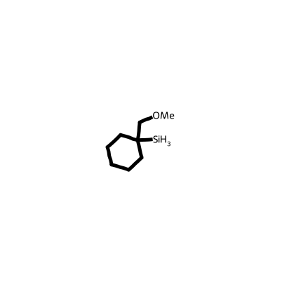 COCC1([SiH3])CCCCC1